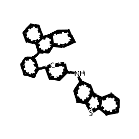 c1ccc(-c2cc3ccccc3c3ccccc23)c(-c2ccc(Nc3ccc4sc5ccccc5c4c3)cc2)c1